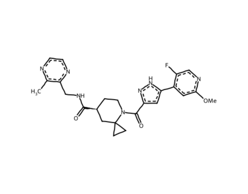 COc1cc(-c2cc(C(=O)N3CC[C@H](C(=O)NCc4nccnc4C)CC34CC4)n[nH]2)c(F)cn1